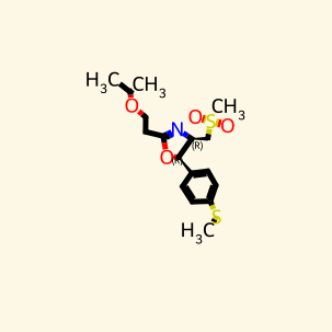 CSc1ccc([C@H]2OC(CCOC(C)C)=N[C@H]2CS(C)(=O)=O)cc1